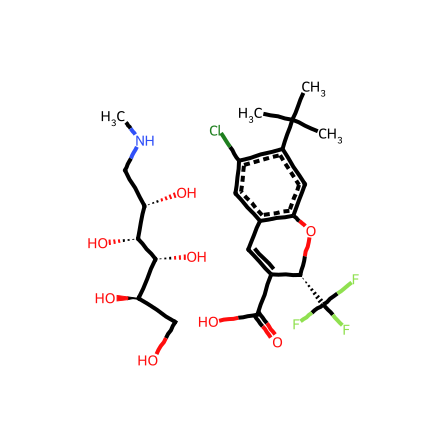 CC(C)(C)c1cc2c(cc1Cl)C=C(C(=O)O)[C@@H](C(F)(F)F)O2.CNC[C@H](O)[C@@H](O)[C@H](O)[C@H](O)CO